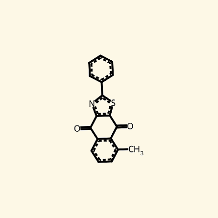 Cc1cccc2c1C(=O)c1sc(-c3ccccc3)nc1C2=O